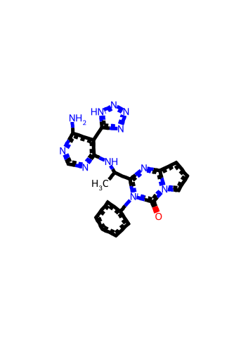 CC(Nc1ncnc(N)c1-c1nnn[nH]1)c1nc2cccn2c(=O)n1-c1ccccc1